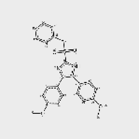 COc1ccc(-c2nc(S(=O)(=O)Cc3ccccn3)[nH]c2-c2ccc(OC)cc2)cc1